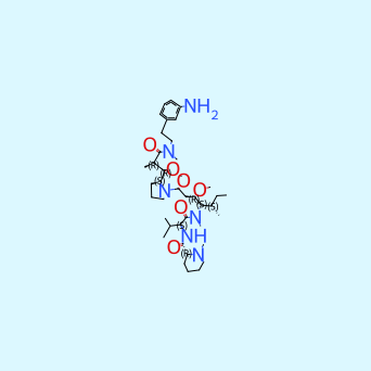 CC[C@H](C)[C@@H]([C@@H](CC(=O)N1CCC[C@H]1[C@H](OC)[C@@H](C)C(=O)N(C)CCc1cccc(N)c1)OC)N(C)C(=O)[C@@H](NC(=O)[C@H]1CCCCN1C)C(C)C